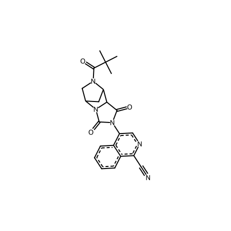 CC(C)(C)C(=O)N1CC2CC1C1C(=O)N(c3cnc(C#N)c4ccccc34)C(=O)N21